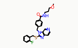 COCCCNC(=O)c1ccc(Cn2c(SCc3ccccc3F)nc3ccncc32)cc1